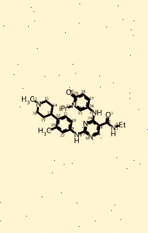 CCNC(=O)c1cnc(Nc2ccc(C3CCN(C)CC3)c(C)c2)nc1Nc1ccc(=O)n(C(C)C)c1